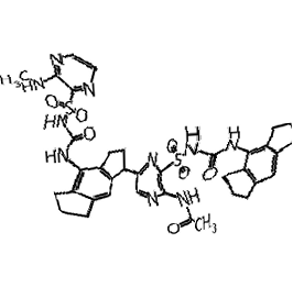 CNc1nccnc1S(=O)(=O)NC(=O)Nc1c2c(cc3c1CCC3c1cnc(NC(C)=O)c(S(=O)(=O)NC(=O)Nc3c4c(cc5c3CCC5)CCC4)n1)CCC2